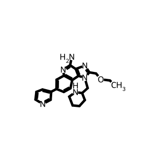 CCOCc1nc2c(N)nc3cc(-c4cccnc4)ccc3c2n1CC1CCCCN1